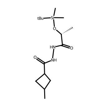 CC1CC(C(=O)NNC(=O)[C@@H](C)O[Si](C)(C)C(C)(C)C)C1